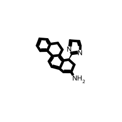 NC1=Cc2ccc3c(c2[C@@H](c2ncccn2)C1)CCc1ccccc1-3